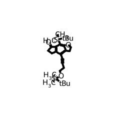 CC(C)(C)[Si](C)(C)OCCC#Cc1c2c(c([Si](C)(C)C(C)(C)C)c3c1CCC3=O)OCC2